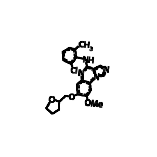 COc1cc2c(cc1OCC1CCCO1)nc(Nc1c(C)cccc1Cl)c1cncn12